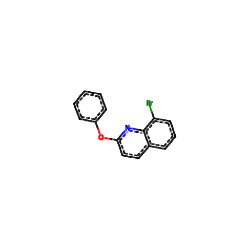 Brc1cccc2ccc(Oc3ccccc3)nc12